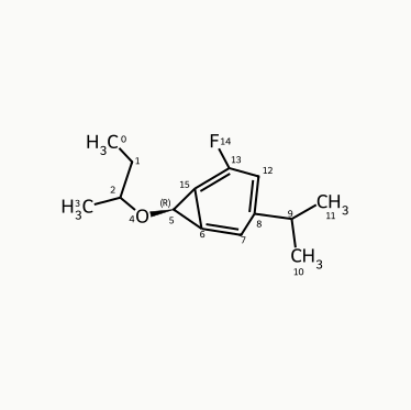 CCC(C)O[C@@H]1c2cc(C(C)C)cc(F)c21